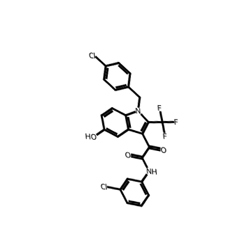 O=C(Nc1cccc(Cl)c1)C(=O)c1c(C(F)(F)F)n(Cc2ccc(Cl)cc2)c2ccc(O)cc12